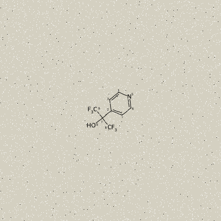 OC(c1ccncc1)(C(F)(F)F)C(F)(F)F